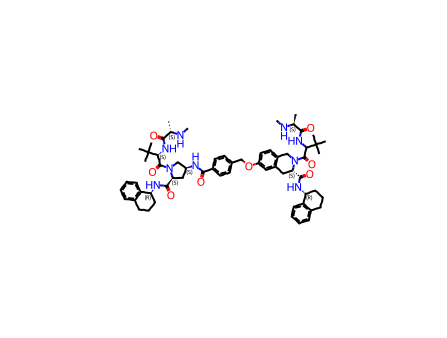 CN[C@@H](C)C(=O)NC(C(=O)N1Cc2ccc(OCc3ccc(C(=O)N[C@H]4C[C@@H](C(=O)N[C@@H]5CCCc6ccccc65)N(C(=O)[C@@H](NC(=O)[C@H](C)NC)C(C)(C)C)C4)cc3)cc2C[C@H]1C(=O)N[C@@H]1CCCc2ccccc21)C(C)(C)C